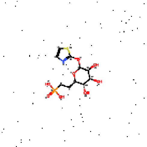 O=P(O)(O)CC[C@H]1OC(Oc2nccs2)[C@@H](O)[C@@H](O)[C@@H]1O